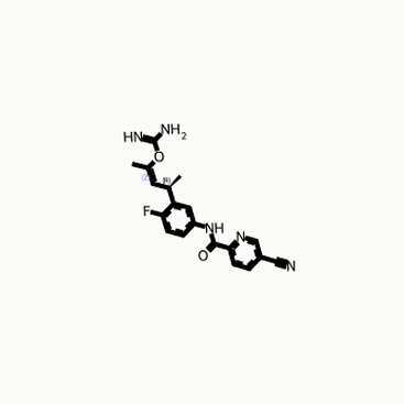 C/C(=C/[C@@H](C)c1cc(NC(=O)c2ccc(C#N)cn2)ccc1F)OC(=N)N